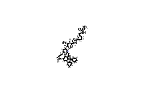 CC(C)[C@H](NC(=O)[C@]1(C)CSC(c2cccc(CNC(=O)OC(C)(C)C)n2)=N1)C(=O)OC(/C=C/CCSC(c1ccccc1)(c1ccccc1)c1ccccc1)CC(=O)OCC[Si](C)(C)C